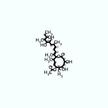 CCC(O)C(C)C(O)C(I)CC(C)C=C/C=C(\C)C1OC(=O)CC(O)CC(O)C(C)C(OC(C)=O)/C=C/C1C